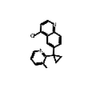 Fc1cccnc1C1(c2ccc3nccc(Cl)c3c2)CC1